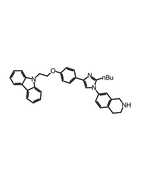 CCCCc1nc(-c2ccc(OCCn3c4ccccc4c4ccccc43)cc2)cn1-c1ccc2c(c1)CNCC2